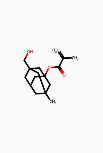 C=C(C)C(=O)OC12CC3CC(C)(CC(CO)(C3)C1)C2